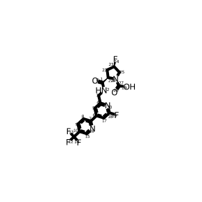 O=C(NCc1cc(-c2ccc(C(F)(F)F)cn2)cc(F)n1)[C@H]1C[C@@H](F)CN1C(=O)O